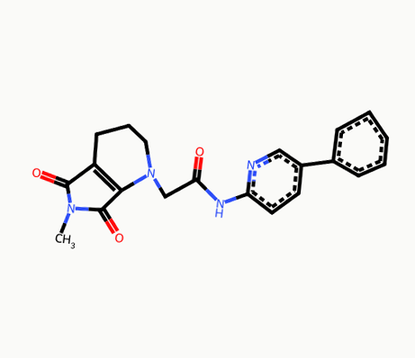 CN1C(=O)C2=C(C1=O)N(CC(=O)Nc1ccc(-c3ccccc3)cn1)CCC2